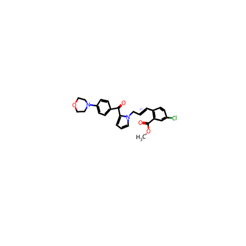 COC(=O)c1cc(Cl)ccc1/C=C/Cn1cccc1C(=O)c1ccc(N2CCOCC2)cc1